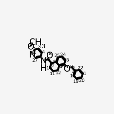 COc1ccc(NC(=O)C2CCCc3c(OCc4ccccc4)cccc32)cn1